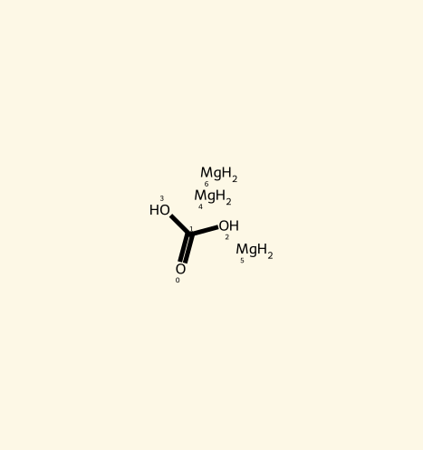 O=C(O)O.[MgH2].[MgH2].[MgH2]